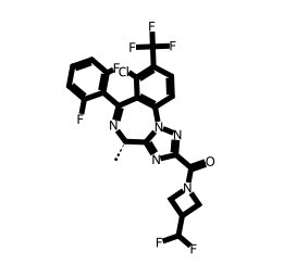 C[C@@H]1N=C(c2c(F)cccc2F)c2c(ccc(C(F)(F)F)c2Cl)-n2nc(C(=O)N3CC(C(F)F)C3)nc21